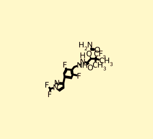 CC(C)([C@H](OC(N)=O)C(=O)NNCc1c(F)cc(-c2ccn(C(F)F)n2)cc1F)C(F)(F)F